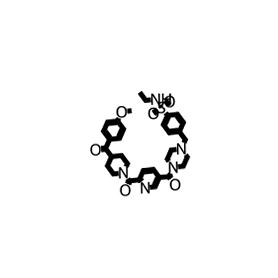 CCNS(=O)(=O)c1ccc(CN2CCN(C(=O)c3ccc(C(=O)N4CCC(C(=O)c5ccc(OC)cc5)CC4)nc3)CC2)cc1